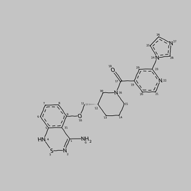 NC1=NSNc2cccc(OC[C@H]3CCCN(C(=O)c4ccnc(-n5ccnc5)c4)C3)c21